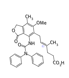 COc1c(C)c2c(c(NC(=O)N(c3ccccc3)c3ccccc3)c1C/C=C(\C)CCC(=O)O)C(=O)OC2